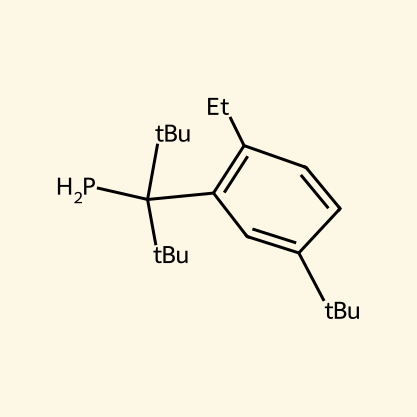 CCc1ccc(C(C)(C)C)cc1C(P)(C(C)(C)C)C(C)(C)C